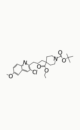 CCOC(=O)C1(CCCc2nc3ccc(OC)cc3cc2Cl)CCN(C(=O)OC(C)(C)C)CC1